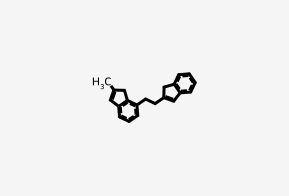 CC1=Cc2cccc(CCC3=Cc4ccccc4C3)c2C1